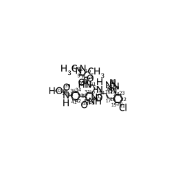 Cc1nn(C)cc1S(=O)(=O)NCC(NC(=O)C=Cc1cc(Cl)ccc1-n1cnnn1)c1cc(-c2ccc(NC(=O)O)cc2)c(=O)[nH]n1